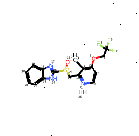 Cc1c(OCC(F)(F)F)ccnc1C[S+]([O-])c1nc2ccccc2[nH]1.[LiH]